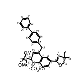 CCOC(=O)N1c2ccc(C3=NC(C)(C)CO3)cc2C(Cc2ccc(-c3ccccc3)cc2)=CC1P(=O)(OC)OC